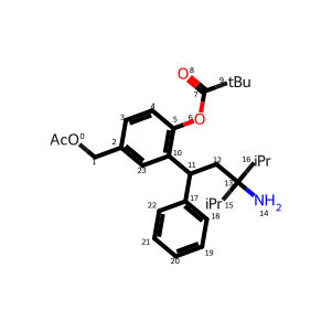 CC(=O)OCc1ccc(OC(=O)C(C)(C)C)c(C(CC(N)(C(C)C)C(C)C)c2ccccc2)c1